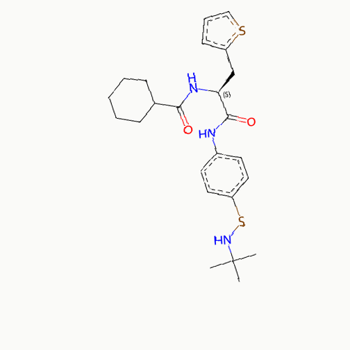 CC(C)(C)NSc1ccc(NC(=O)[C@H](Cc2cccs2)NC(=O)C2CCCCC2)cc1